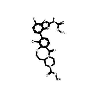 CC(C)(C)OC(=O)Nc1nc2c(-c3ccc4c(c3Cl)OCCC3CN(C(=O)OC(C)(C)C)CCN3C4=O)ccc(F)c2s1